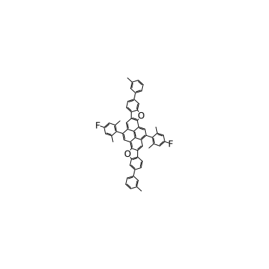 Cc1cccc(-c2ccc3c(c2)oc2c3cc3c(-c4c(C)cc(F)cc4C)cc4c5oc6cc(-c7cccc(C)c7)ccc6c5cc5c(-c6c(C)cc(F)cc6C)cc2c3c54)c1